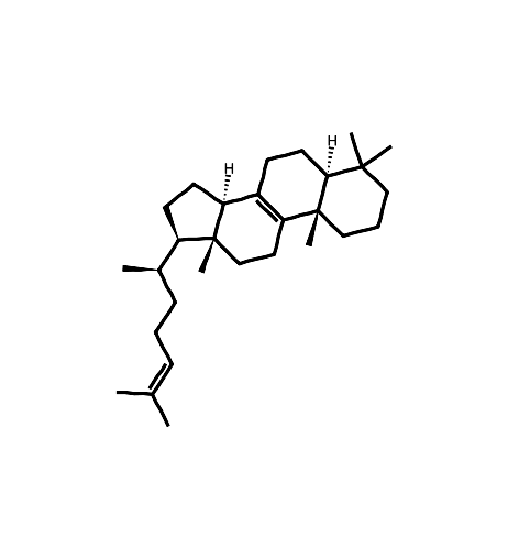 CC(C)=CCC[C@@H](C)[C@H]1CC[C@H]2C3=C(CC[C@]12C)[C@@]1(C)CCCC(C)(C)[C@@H]1CC3